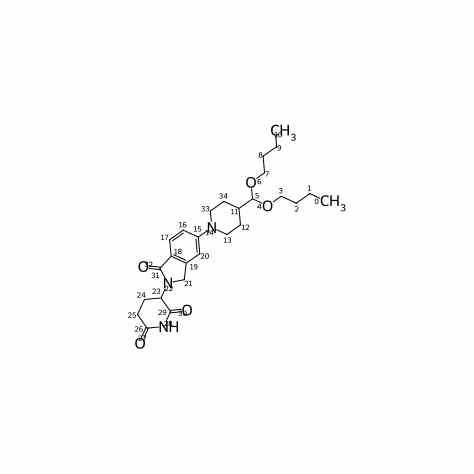 CCCCOC(OCCCC)C1CCN(c2ccc3c(c2)CN(C2CCC(=O)NC2=O)C3=O)CC1